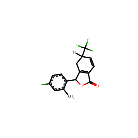 [2H]C1(C(F)(F)F)C=CC2=C(C1)C(c1ccc(F)cc1C)OC2=O